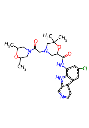 CC1CN(C(=O)CN2CC(C(=O)Nc3cc(Cl)cc4c3[nH]c3cnccc34)OC(C)(C)C2)CC(C)O1